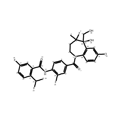 CC1(F)CCN(C(=O)c2ccc(NC(=O)c3cc(F)ccc3C(F)F)c(F)c2)c2ccc(Cl)cc2[C@@]1(O)CO